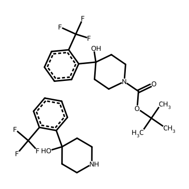 CC(C)(C)OC(=O)N1CCC(O)(c2ccccc2C(F)(F)F)CC1.OC1(c2ccccc2C(F)(F)F)CCNCC1